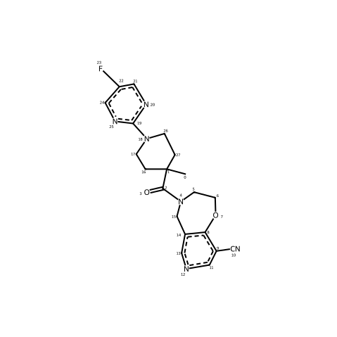 CC1(C(=O)N2CCOc3c(C#N)cncc3C2)CCN(c2ncc(F)cn2)CC1